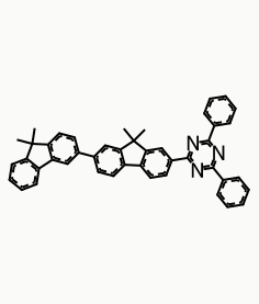 CC1(C)c2ccccc2-c2cc(-c3ccc4c(c3)C(C)(C)c3cc(-c5nc(-c6ccccc6)nc(-c6ccccc6)n5)ccc3-4)ccc21